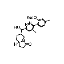 COc1cc(C)ccc1-c1nnc(C(O)[C@@H]2CC[C@H]3CCC(=O)N3C2)cc1C